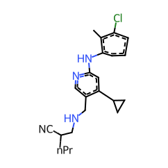 CCCC(C#N)CNCc1cnc(Nc2cccc(Cl)c2C)cc1C1CC1